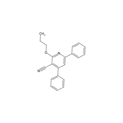 CCCOc1nc(-c2ccccc2)cc(-c2ccccc2)c1C#N